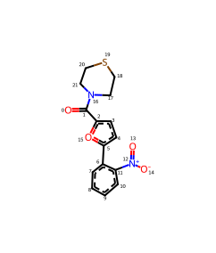 O=C(c1ccc(-c2ccccc2[N+](=O)[O-])o1)N1CCSCC1